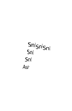 [Au].[Sn].[Sn].[Sn].[Sn].[Sn]